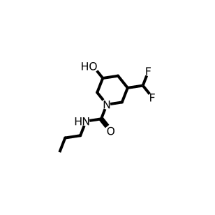 CCCNC(=O)N1CC(O)CC(C(F)F)C1